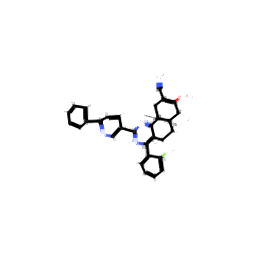 C[C@H]1C(O)=C(C#N)C[C@@]2(C)c3nc(-c4ccc(-c5ccccc5)nc4)nc(-c4ccccc4F)c3CC[C@H]12